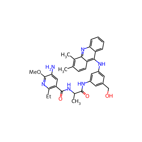 CCc1nc(OC)c(N)cc1C(=O)NC(C)C(=O)Nc1cc(CO)cc(Nc2c3ccccc3nc3c(C)c(C)ccc23)c1